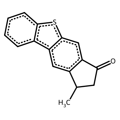 CC1CC(=O)c2cc3sc4ccccc4c3cc21